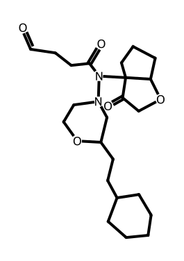 O=CCCC(=O)N(N1CCOC(CCC2CCCCC2)C1)C12CCCC1OCC2=O